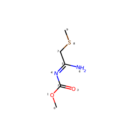 COC(=O)N=C(N)CSC